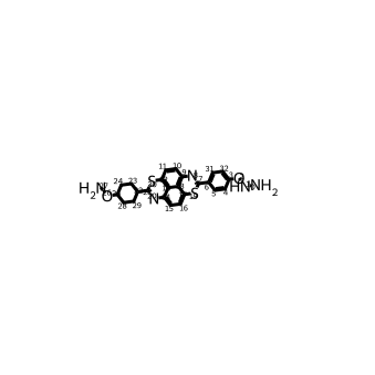 NNOc1ccc(C2=Nc3ccc4c5c(ccc(c35)S2)N=C(C2CCC(ON)CC2)S4)cc1